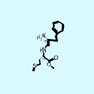 COC(=O)[C@H](CCSC)NC[C@H](N)Cc1ccccc1